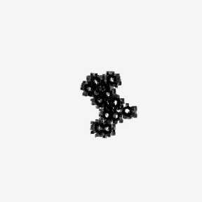 c1ccc(-c2ccccc2-c2ccccc2N(c2ccc(-c3cccc4ccccc34)cc2)c2ccc3c(c2)C2(c4ccccc4-3)c3ccccc3N(c3ccccc3)c3ccccc32)cc1